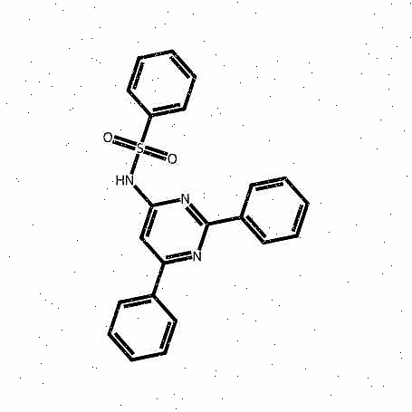 O=S(=O)(Nc1cc(-c2ccccc2)nc(-c2ccccc2)n1)c1ccccc1